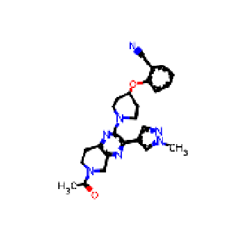 CC(=O)N1CCc2nc(N3CCC(Oc4ccccc4C#N)CC3)c(-c3cnn(C)c3)nc2C1